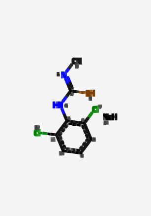 N#CN=C(S)Nc1c(Cl)cccc1Cl.[NaH]